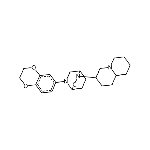 c1cc2c(cc1N1CC3CCC1CN3C1CCC3CCCCN3C1)OCCO2